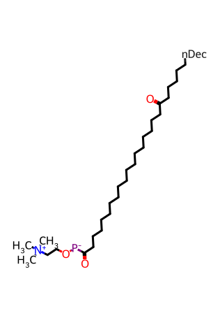 CCCCCCCCCCCCCCCC(=O)CCCCCCCCCCCCCCCCCC(=O)[P-]OCC[N+](C)(C)C